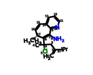 C=C(CC(C)(Cl)C1=C(N)c2ncccc2C=C[C@H]1C)C(C)C